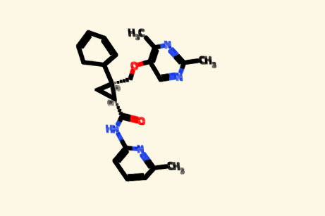 Cc1cccc(NC(=O)[C@@H]2C[C@@]2(COc2cnc(C)nc2C)C2C=CC=CC2)n1